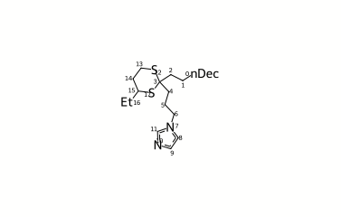 CCCCCCCCCCCCC1(CCCn2ccnc2)SCCC(CC)S1